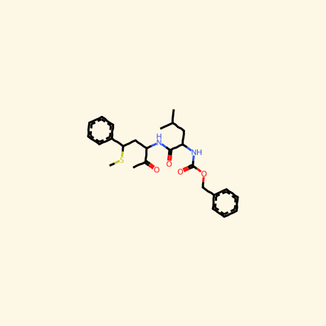 CSC(CC(NC(=O)C(CC(C)C)NC(=O)OCc1ccccc1)C(C)=O)c1ccccc1